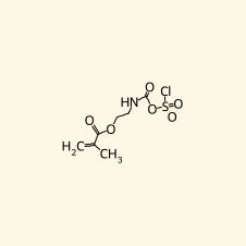 C=C(C)C(=O)OCCNC(=O)OS(=O)(=O)Cl